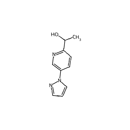 CC(O)c1ccc(-n2cccn2)cn1